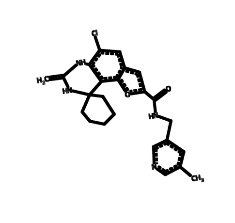 C=C1Nc2c(Cl)cc3cc(C(=O)NCc4cncc(C)c4)oc3c2C2(CCCCC2)N1